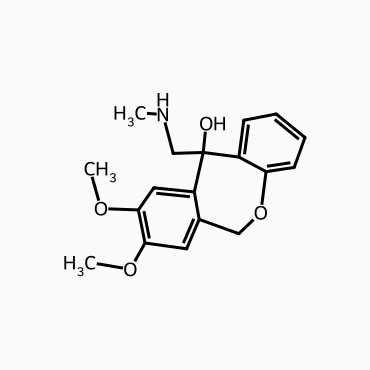 CNCC1(O)c2cc(OC)c(OC)cc2COc2ccccc21